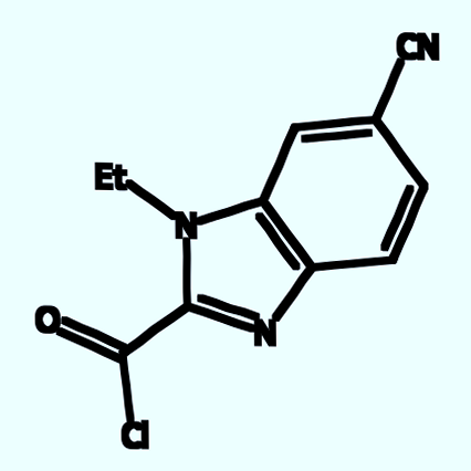 CCn1c(C(=O)Cl)nc2ccc(C#N)cc21